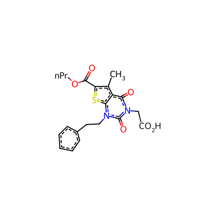 CCCOC(=O)c1sc2c(c1C)c(=O)n(CC(=O)O)c(=O)n2CCc1ccccc1